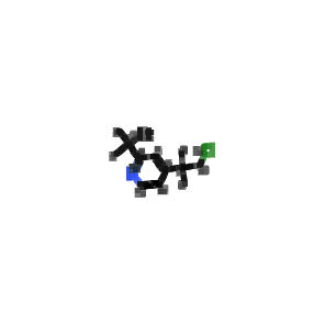 CCC(C)(C)c1cc(C(C)(C)CCl)ccn1